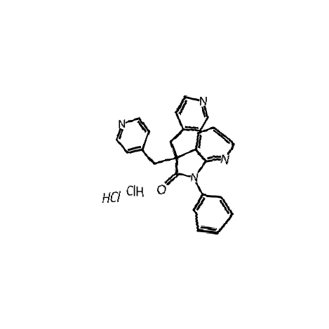 Cl.Cl.O=C1N(c2ccccc2)c2ncccc2C1(Cc1ccncc1)Cc1ccncc1